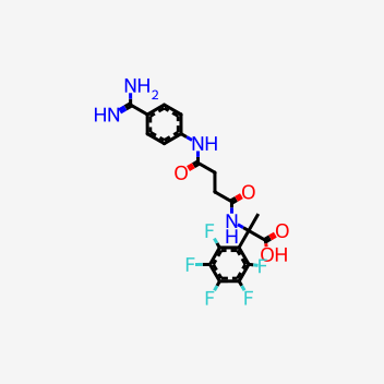 CC(NC(=O)CCC(=O)Nc1ccc(C(=N)N)cc1)(C(=O)O)c1c(F)c(F)c(F)c(F)c1F